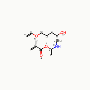 C=C(C)C(=O)OC(C)NC(C)(C)C.C=COCCCCO